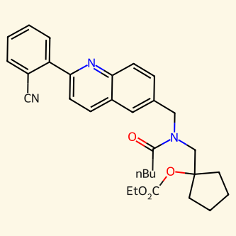 CCCCC(=O)N(Cc1ccc2nc(-c3ccccc3C#N)ccc2c1)CC1(OC(=O)OCC)CCCC1